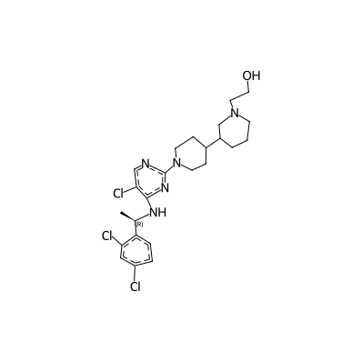 C[C@@H](Nc1nc(N2CCC(C3CCCN(CCO)C3)CC2)ncc1Cl)c1ccc(Cl)cc1Cl